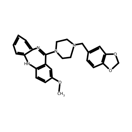 COc1ccc2c(c1)C(N1CCN(Cc3ccc4c(c3)OCO4)CC1)=Nc1ccccc1N2